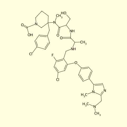 CC(NCc1c(F)cc(Cl)cc1Oc1ccc(-c2cnc(CN(C)C)n2C)cc1)C(=O)NC(CO)C(=O)N(C)C1(Cc2ccc(Cl)cc2)CCCN(C(=O)O)C1